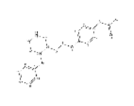 CC(=O)Cc1ccc(OCCC2CNCCN2Cc2ccccc2)cc1